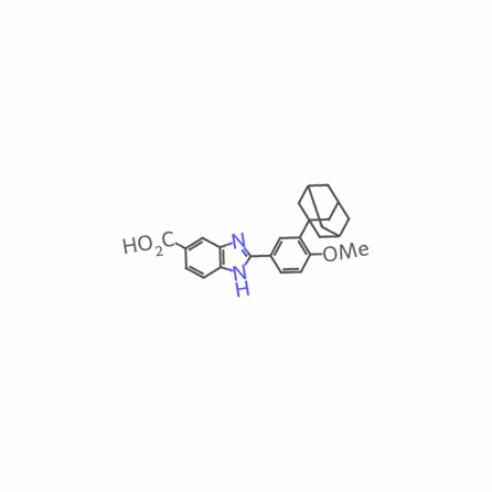 COc1ccc(-c2nc3cc(C(=O)O)ccc3[nH]2)cc1C12CC3CC(CC(C3)C1)C2